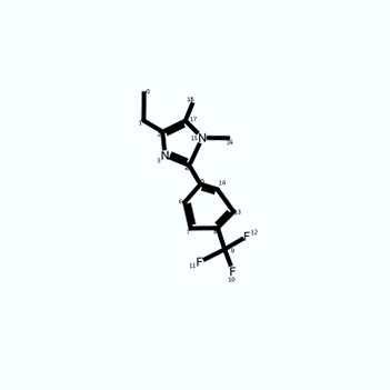 CCc1nc(-c2ccc(C(F)(F)F)cc2)n(C)c1C